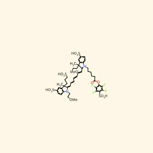 COCCN1/C(=C/C=C/C=C/C=C/C2=[N+](CCCCCC(=O)Oc3c(F)c(F)c(S(=O)(=O)O)c(F)c3F)c3ccc(S(=O)(=O)O)cc3C2(C)CCOC)C(C)(CCCS(=O)(=O)O)c2cc(S(=O)(=O)O)ccc21